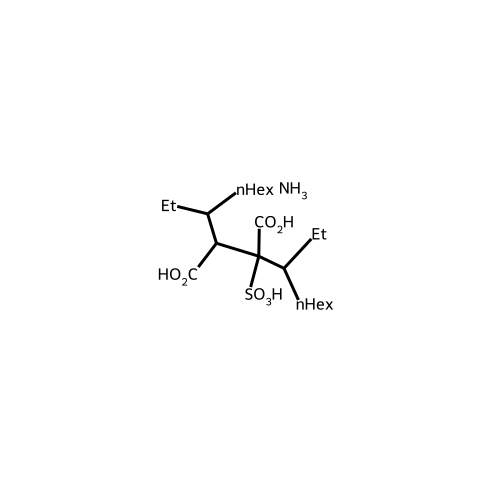 CCCCCCC(CC)C(C(=O)O)C(C(=O)O)(C(CC)CCCCCC)S(=O)(=O)O.N